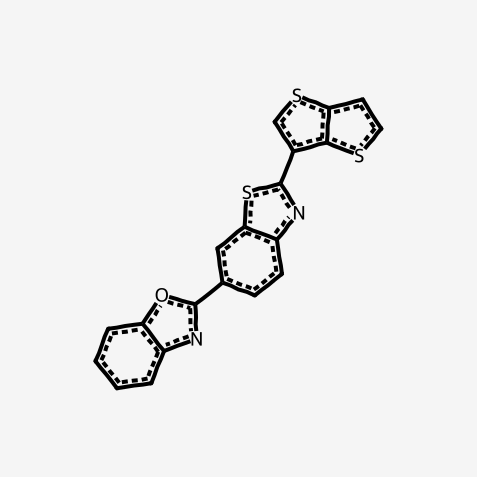 c1ccc2oc(-c3ccc4nc(-c5csc6ccsc56)sc4c3)nc2c1